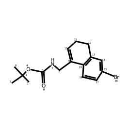 CC(C)(C)OC(=O)NCC1=CCCc2cc(Br)ccc21